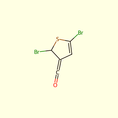 O=C=C1C=C(Br)SC1Br